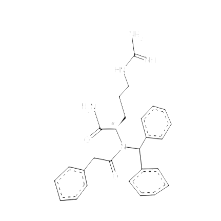 N=C(N)NCCC[C@H](C(N)=O)N(C(=O)Cc1ccccc1)C(c1ccccc1)c1ccccc1